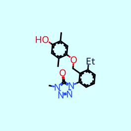 CCc1cccc(-n2nnn(C)c2=O)c1COc1cc(C)c(O)cc1C